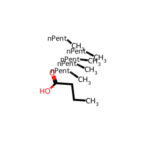 CCCC(=O)O.CCCCCC.CCCCCC.CCCCCC.CCCCCC.CCCCCC